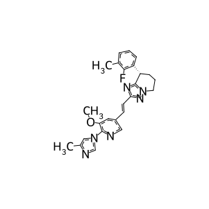 COc1cc(/C=C/c2nc3n(n2)CCC[C@H]3c2cccc(C)c2F)cnc1-n1cnc(C)c1